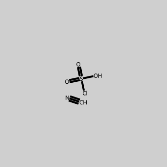 C#N.O=S(=O)(O)Cl